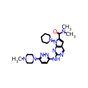 CN1CCN(c2ccc(Nc3ncc4cc(C(=O)N(C)C)n(N5CCCCC5)c4n3)nn2)CC1